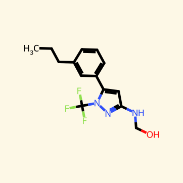 CCCc1cccc(-c2cc(NCO)nn2C(F)(F)F)c1